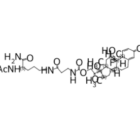 CC(=O)N[C@@H](CCCCNC(=O)CCNC(=O)OCC(=O)[C@@]1(O)[C@H](C)C[C@H]2[C@@H]3CCC4=CC(=O)C=C[C@]4(C)[C@@]3(F)[C@@H](O)C[C@@]21C)C(N)=O